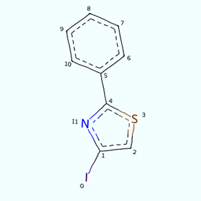 Ic1csc(-c2ccccc2)n1